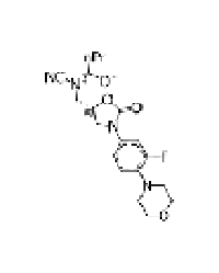 CCCC([O-])=[N+](C#N)C[C@H]1CN(c2ccc(N3CCOCC3)c(F)c2)C(=O)O1